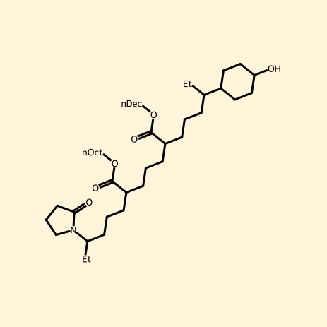 CCCCCCCCCCOC(=O)C(CCCC(CCCC(CC)N1CCCC1=O)C(=O)OCCCCCCCC)CCCC(CC)C1CCC(O)CC1